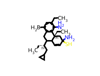 Bc1cc(CC)c(N)c2c1CC([C@@H](CC)CC1CC1)C1C=CC(N)(S)C[C@@]21CC